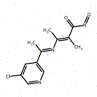 C/C(=N\C(C)=C(/C)C(=O)N=O)c1cncc(Cl)c1